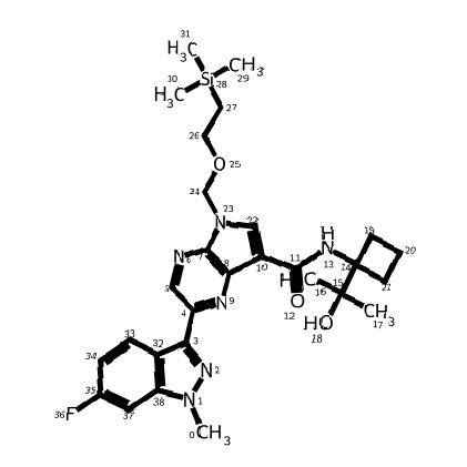 Cn1nc(-c2cnc3c(n2)c(C(=O)NC2(C(C)(C)O)CCC2)cn3COCC[Si](C)(C)C)c2ccc(F)cc21